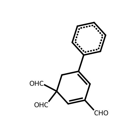 O=CC1=CC(C=O)(C=O)CC(c2ccccc2)=C1